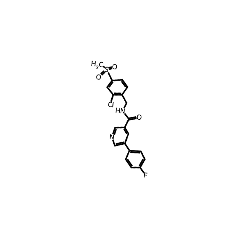 CS(=O)(=O)c1ccc(CNC(=O)c2cncc(-c3ccc(F)cc3)c2)c(Cl)c1